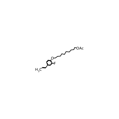 CC=Cc1ccc(OCCCCCCCCCCOC(C)=O)c(F)c1